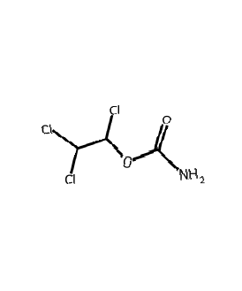 NC(=O)OC(Cl)C(Cl)Cl